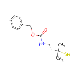 CC(C)(S)CCNC(=O)OCc1cc[c]cc1